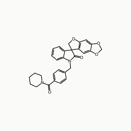 O=C(c1ccc(CN2C(=O)C3(COc4cc5c(cc43)OCO5)c3ccccc32)cc1)N1CCCCC1